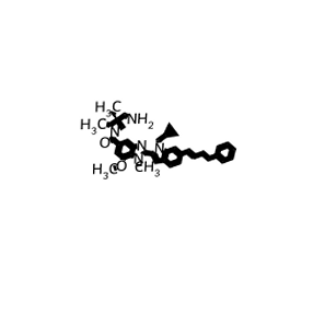 CC[C@@]1(CN)CN(C(=O)c2cc(OC)c3c(c2)nc(-c2cc4ccc(/C=C/CCc5ccccc5)cc4n2CC2CC2)n3C)C1C